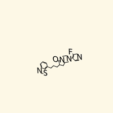 O=C1C(CCCc2cccc3ncsc23)CC2CN(c3ccncc3F)CCN12